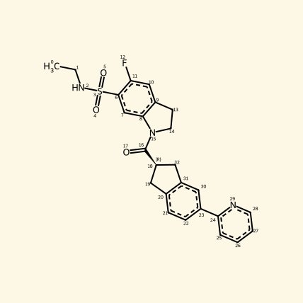 CCNS(=O)(=O)c1cc2c(cc1F)CCN2C(=O)[C@@H]1Cc2ccc(-c3ccccn3)cc2C1